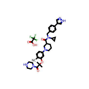 CC(C)(Oc1cc(N2CCCC(C(=O)N(Cc3ccc(-c4cn[nH]c4)cc3)C3CC3)C2)ccc1C#N)C(=O)N1CCNCC1.O=C(O)C(F)(F)F